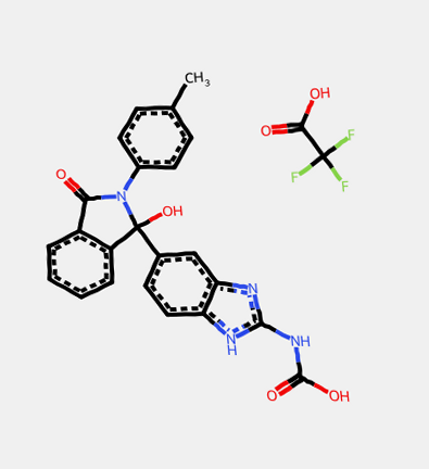 Cc1ccc(N2C(=O)c3ccccc3C2(O)c2ccc3[nH]c(NC(=O)O)nc3c2)cc1.O=C(O)C(F)(F)F